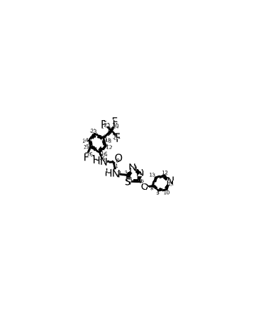 O=C(Nc1nnc(Oc2ccncc2)s1)Nc1cc(C(F)(F)F)ccc1F